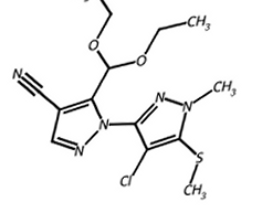 CCOC(OCC)c1c(C#N)cnn1-c1nn(C)c(SC)c1Cl